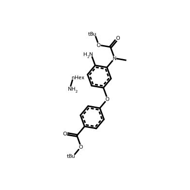 CCCCCCN.CN(C(=O)OC(C)(C)C)c1cc(Oc2ccc(C(=O)OC(C)(C)C)cc2)ccc1N